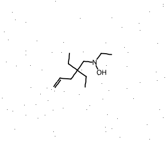 C=CCC(CC)(CC)CN(O)CC